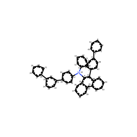 c1ccc(-c2ccc(-c3c(N(c4ccccc4)c4ccc(-c5cccc(-c6ccccc6)c5)cc4)c4ccccc4c4ccccc34)cc2)cc1